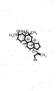 C=C(CBr)[C@H]1CC[C@H]2[C@@H]3CC(C)(C)[C@H]4C[C@@](C)(O)CC[C@@H]4[C@H]3CC[C@]12C